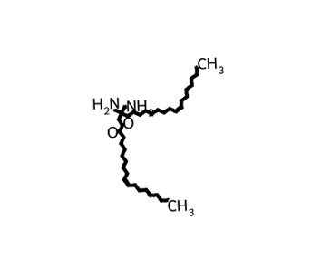 CCCCCCCC/C=C\CCCCCCCC(=O)CCC(CN)(CN)C(=O)CCCCCCC/C=C\CCCCCCCC